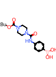 CC(C)(C)OC(=O)N1CCN(C(=O)Nc2ccc(B(O)O)cc2)CC1